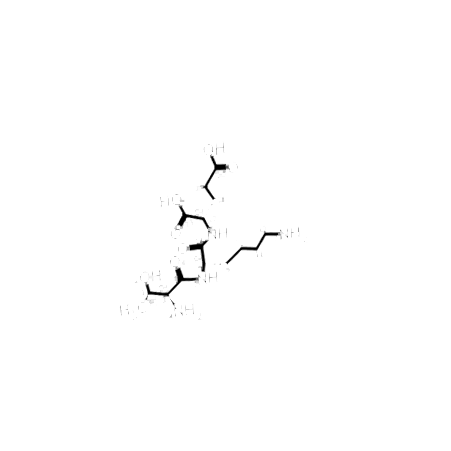 C[C@@H](O)[C@H](N)C(=O)N[C@@H](CCCCN)C(=O)N[C@@H](CCC(=O)O)C(=O)O